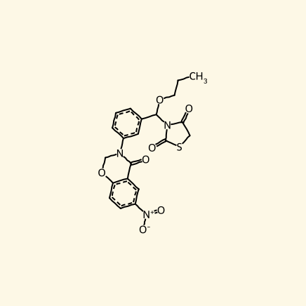 CCCOC(c1cccc(N2COc3ccc([N+](=O)[O-])cc3C2=O)c1)N1C(=O)CSC1=O